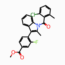 COC(=O)c1ccc(-c2c(C)n(C(=O)c3c(C)cccc3Cl)c3ccccc23)c(F)c1